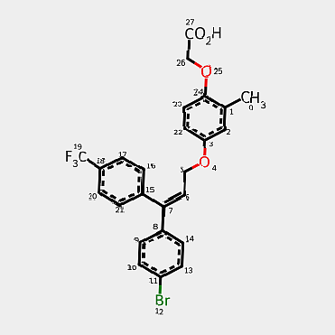 Cc1cc(OCC=C(c2ccc(Br)cc2)c2ccc(C(F)(F)F)cc2)ccc1OCC(=O)O